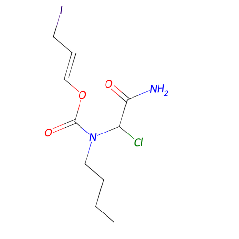 CCCCN(C(=O)OC=CCI)C(Cl)C(N)=O